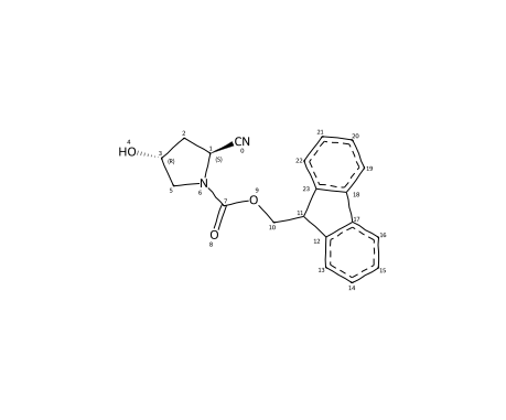 N#C[C@@H]1C[C@@H](O)CN1C(=O)OCC1c2ccccc2-c2ccccc21